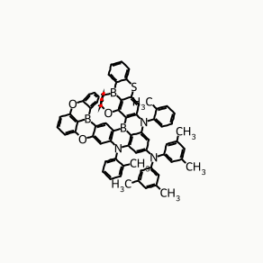 Cc1cc(C)cc(N(c2cc(C)cc(C)c2)c2cc3c4c(c2)N(c2ccccc2C)c2cc5c6c(c2B4c2cc4c(cc2N3c2ccccc2C)Oc2cccc3c2B4c2ccccc2O3)Oc2ccccc2B6c2ccccc2S5)c1